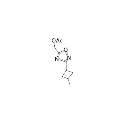 CC(=O)OCc1nc(C2CC(C)C2)no1